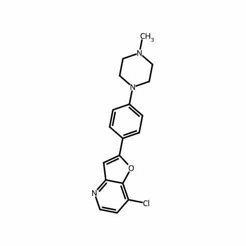 CN1CCN(c2ccc(-c3cc4nccc(Cl)c4o3)cc2)CC1